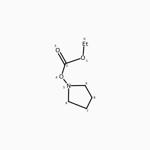 CCOC(=O)ON1CCCC1